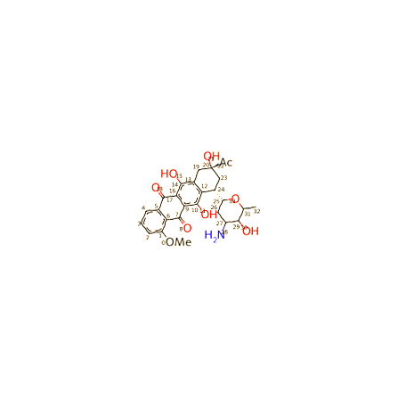 COc1cccc2c1C(=O)c1c(O)c3c(c(O)c1C2=O)C[C@@](O)(C(C)=O)C[C@@H]3C1CC(N)C(O)C(C)O1